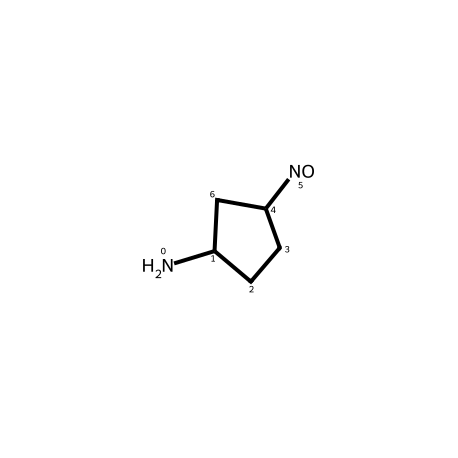 NC1CCC(N=O)C1